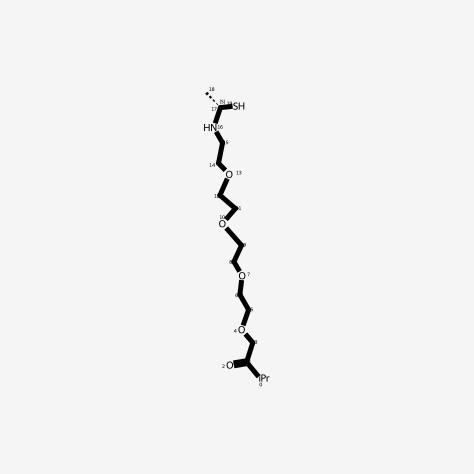 CC(C)C(=O)COCCOCCOCCOCCN[C@H](C)S